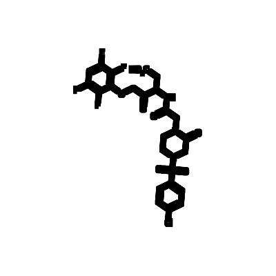 O=C(O)CC(NC(=O)CN1CCN(S(=O)(=O)c2ccc(Cl)cc2)CC1=O)C(=O)COc1c(F)c(F)cc(F)c1F